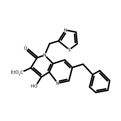 CCOC(=O)c1c(O)c2ncc(Cc3ccccc3)cc2n(Cc2nccs2)c1=O